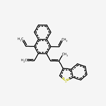 C=Cc1c(/C=C(\C)c2csc3ccccc23)c(C=C)c2ccccc2c1C=C